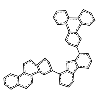 c1ccc2c(c1)ccc1c3cc(-c4cccc5c4sc4c(-c6ccc7c8ccccc8c8ccccc8c7c6)cccc45)ccc3ccc21